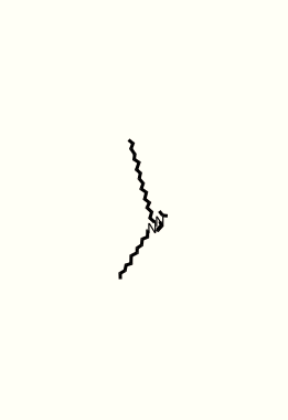 CCCCCCCCCCCCCCCCCC1N(CCCCCCCCCCCC)C=CN1C(C)C